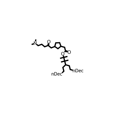 CCCCCCCCCCCCC(CCCCCCCCCCCC)C(C)(C)C(C)(C)OC(=O)CC1CCC(CC(=O)CCCN(C)C)C1